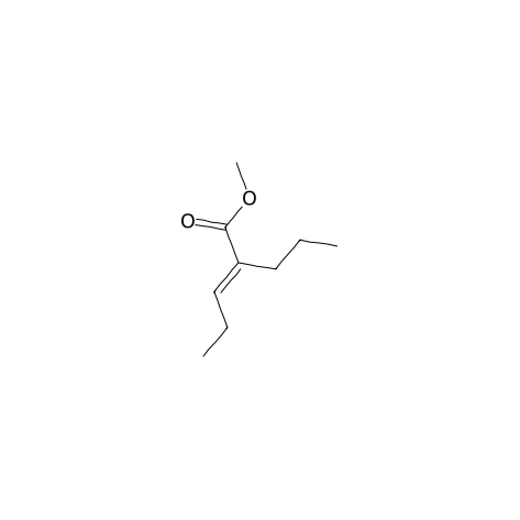 CC/C=C(\CCC)C(=O)OC